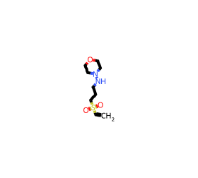 C=CS(=O)(=O)CCCNN1CCOCC1